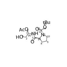 CC(=O)O[C@H](CO)NC(=O)[C@@H]1CCCN1C(=O)OC(C)(C)C